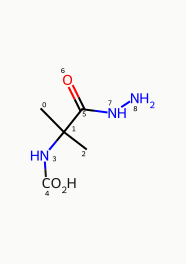 CC(C)(NC(=O)O)C(=O)NN